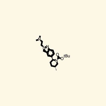 C[C@@H]1CC[C@@H](c2ccc3nn(CCN(C)C)cc3c2)N(C(=O)OC(C)(C)C)C1